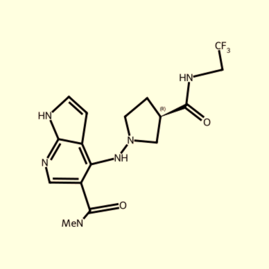 CNC(=O)c1cnc2[nH]ccc2c1NN1CC[C@@H](C(=O)NCC(F)(F)F)C1